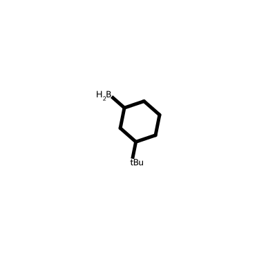 BC1CCCC(C(C)(C)C)C1